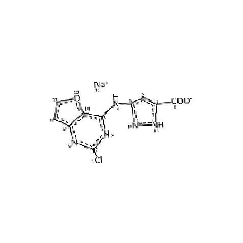 O=C([O-])c1cc(Nc2nc(Cl)nc3ccoc23)n[nH]1.[Na+]